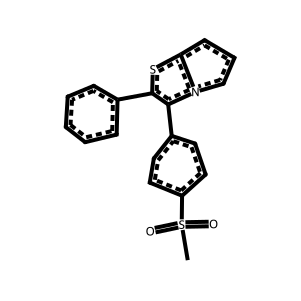 CS(=O)(=O)c1ccc(-c2c(-c3ccccc3)sc3cccn23)cc1